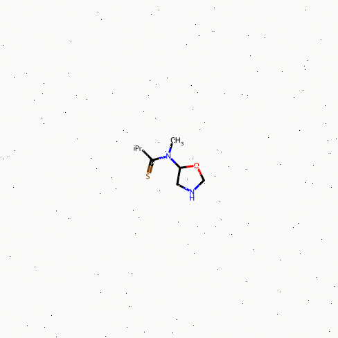 CC(C)C(=S)N(C)C1CNCO1